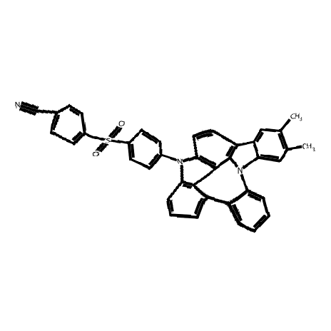 Cc1cc2c3ccc4c5c6c(cccc6n4-c4ccc(S(=O)(=O)c6ccc(C#N)cc6)cc4)c4ccccc4n(c2cc1C)c35